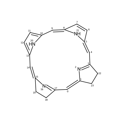 c1c2nc(cc3ccc(cc4ccc(cc5nc1CC5)[nH]4)[nH]3)CC2